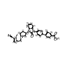 Cn1c(C#N)cnc1CN1CC[C@@H](n2c(=O)n(-c3ccc(-c4ccc(C(=O)O)cc4)nc3)c3cccnc32)C1